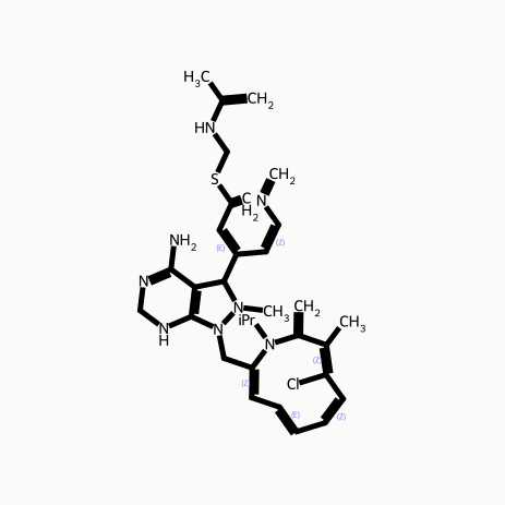 C=N/C=C\C(=C/C(=C)SCNC(=C)C)C1C2=C(NCN=C2N)N(C/C2=C/C=C/C=C\C(Cl)=C(/C)C(=C)N2C(C)C)N1C